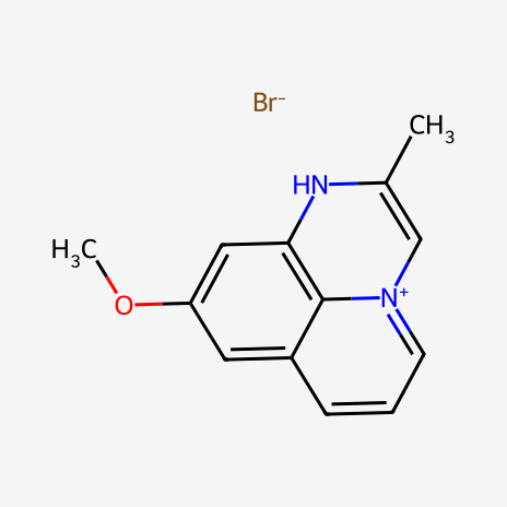 COc1cc2c3c(ccc[n+]3C=C(C)N2)c1.[Br-]